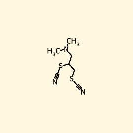 CN(C)CC(CSC#N)SC#N